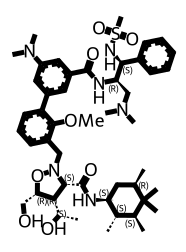 COc1c(CN2O[C@@H](CO)[C@@H]([C@H](C)O)[C@H]2C(=O)N[C@H]2C[C@@H](C)C(C)(C)[C@@H](C)[C@@H]2C)cccc1-c1cc(C(=O)N[C@H](CN(C)C)[C@@H](NS(C)(=O)=O)c2ccccc2)cc(N(C)C)c1